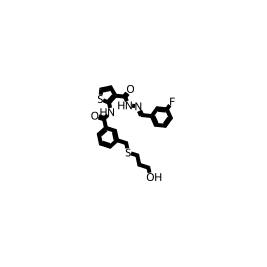 O=C(Nc1sccc1C(=O)NN=Cc1cccc(F)c1)c1cccc(CSCCCO)c1